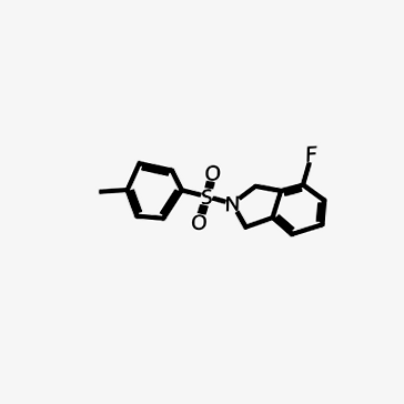 Cc1ccc(S(=O)(=O)N2Cc3cccc(F)c3C2)cc1